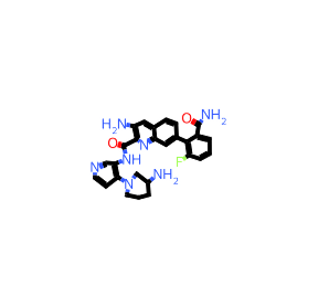 NC(=O)c1cccc(F)c1-c1ccc2cc(N)c(C(=O)Nc3cnccc3N3CCCC(N)C3)nc2c1